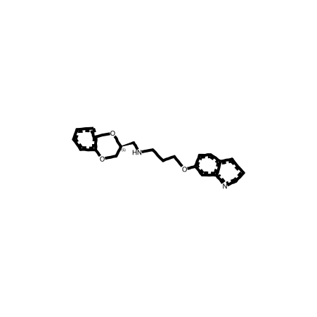 c1ccc2c(c1)OC[C@H](CNCCCOc1ccc3cccnc3c1)O2